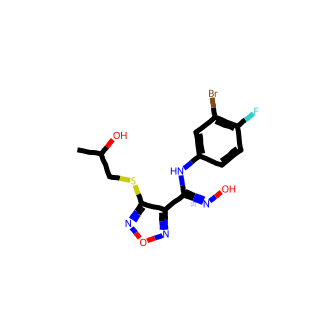 CC(O)CSc1nonc1/C(=N/O)Nc1ccc(F)c(Br)c1